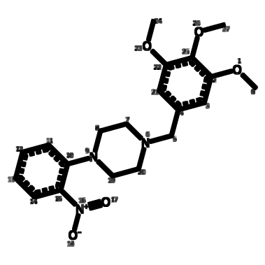 COc1cc(CN2CCN(c3ccccc3[N+](=O)[O-])CC2)cc(OC)c1OC